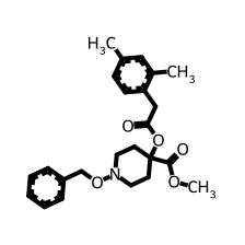 COC(=O)C1(OC(=O)Cc2ccc(C)cc2C)CCN(OCc2ccccc2)CC1